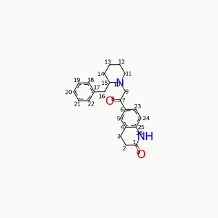 O=C1CCc2cc(C(=O)CN3CCCCC3Cc3ccccc3)ccc2N1